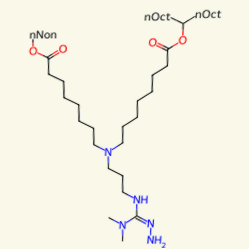 CCCCCCCCCOC(=O)CCCCCCCN(CCCCCCCC(=O)OC(CCCCCCCC)CCCCCCCC)CCCN/C(=N/N)N(C)C